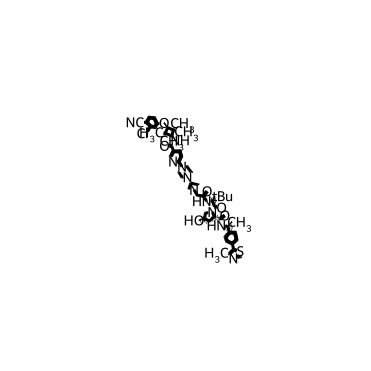 Cc1ncsc1-c1ccc([C@H](C)NC(=O)[C@@H]2C[C@@H](O)CN2C(=O)[C@@H](NC(=O)CN2CC(N3CCN(c4ccc(C(=O)N[C@H]5C(C)(C)[C@H](Oc6ccc(C#N)c(Cl)c6)C5(C)C)cn4)CC3)C2)C(C)(C)C)cc1